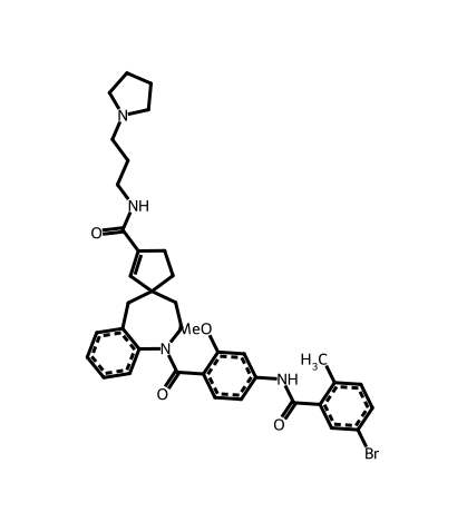 COc1cc(NC(=O)c2cc(Br)ccc2C)ccc1C(=O)N1CCC2(C=C(C(=O)NCCCN3CCCC3)CC2)Cc2ccccc21